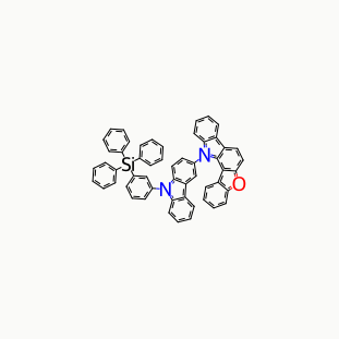 c1ccc([Si](c2ccccc2)(c2ccccc2)c2cccc(-n3c4ccccc4c4cc(-n5c6ccccc6c6ccc7oc8ccccc8c7c65)ccc43)c2)cc1